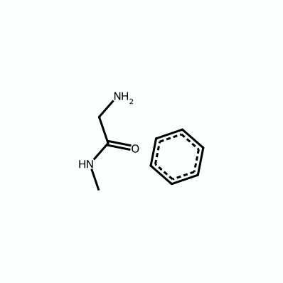 CNC(=O)CN.c1ccccc1